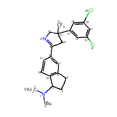 CC(C)(C)N(C(=O)O)C1CCc2cc(C3=NCC(c4cc(Cl)cc(Cl)c4)(C(F)(F)F)C3)ccc21